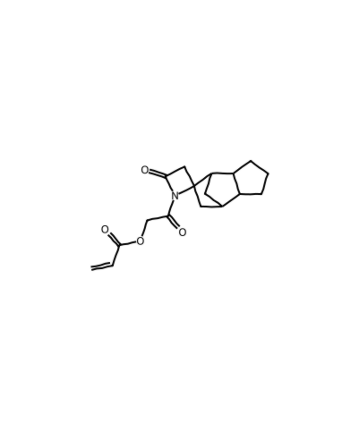 C=CC(=O)OCC(=O)N1C(=O)CC12CC1CC2C2CCCC12